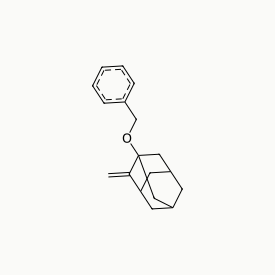 C=C1C2CC3CC(C2)CC1(OCc1ccccc1)C3